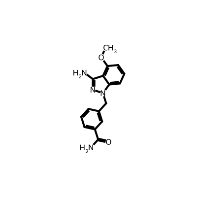 COc1cccc2c1c(N)nn2Cc1cccc(C(N)=O)c1